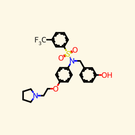 O=S(=O)(c1cccc(C(F)(F)F)c1)N(Cc1cccc(O)c1)c1ccc(OCCN2CCCC2)cc1